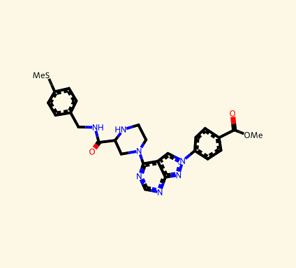 COC(=O)c1ccc(-n2cc3c(N4CCNC(C(=O)NCc5ccc(SC)cc5)C4)ncnc3n2)cc1